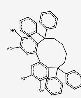 Oc1cc2c(cc1O)C(c1ccccc1)(c1ccccc1)CCCCC(c1ccccc1)(c1ccccc1)c1cc(O)c(O)cc1-2